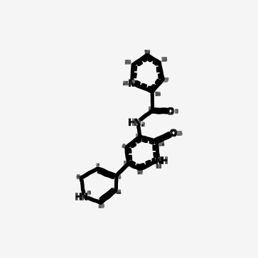 O=C(Nc1cc(C2=CCNC=C2)c[nH]c1=O)c1ccccn1